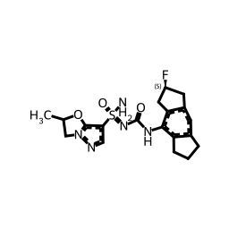 CC1Cn2ncc(S(N)(=O)=NC(=O)Nc3c4c(cc5c3C[C@@H](F)C5)CCC4)c2O1